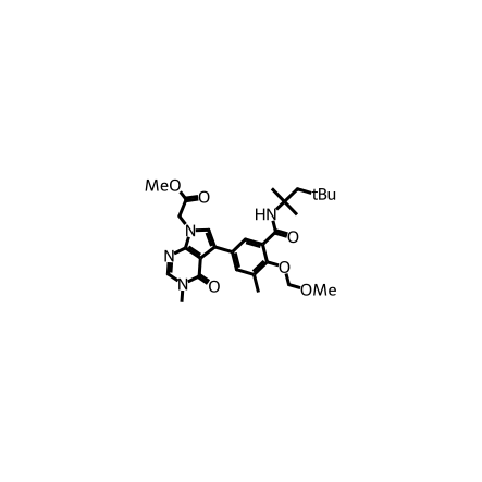 COCOc1c(C)cc(-c2cn(CC(=O)OC)c3ncn(C)c(=O)c23)cc1C(=O)NC(C)(C)CC(C)(C)C